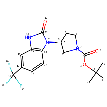 CC(C)(C)OC(=O)N1CC[C@H](n2c(=O)[nH]c3cc(C(F)(F)F)ccc32)C1